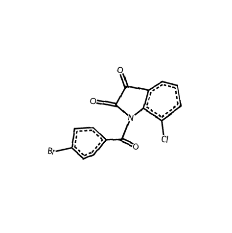 O=C1C(=O)N(C(=O)c2ccc(Br)cc2)c2c(Cl)cccc21